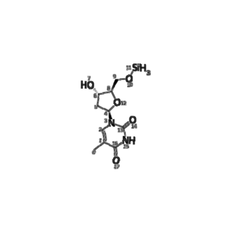 Cc1cn([C@H]2C[C@H](O)[C@@H](CO[SiH3])O2)c(=O)[nH]c1=O